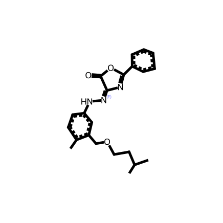 Cc1ccc(N/N=C2/N=C(c3ccccc3)OC2=O)cc1COCCC(C)C